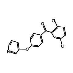 O=C(c1ccc(Oc2cccnc2)cc1)c1cc(Cl)ccc1Cl